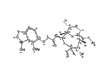 C=C[C@]1(C)C[C@@H](OC(=O)COc2ccc3c(c2OC)B(O)OC3)[C@@]2(C)C[C@](CCC(C)=O)(CC[C@H]2C)[C@@H](C)[C@@H]1O